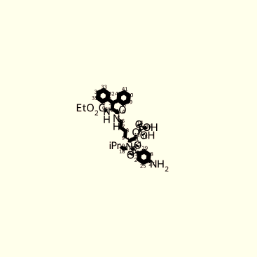 CCOC(=O)N[C@H](C(=O)NCCCC[C@@H](COP(=O)(O)O)N(CC(C)C)S(=O)(=O)c1ccc(N)cc1)C(c1ccccc1)c1ccccc1